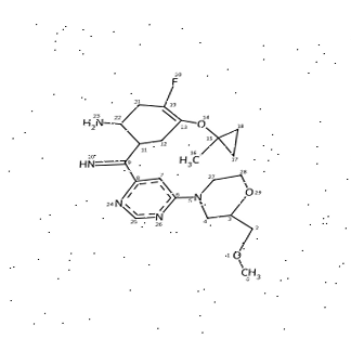 COCC1CN(c2cc(C(=N)C3CC(OC4(C)CC4)=C(F)CC3N)ncn2)CCO1